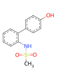 CS(=O)(=O)Nc1ccccc1-c1ccc(O)cc1